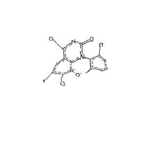 CCc1nccc(C)c1-n1c(=O)nc(Cl)c2cc(F)c(Cl)[n+]([O-])c21